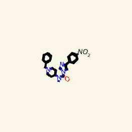 CN(C(=O)n1cnc(-c2ccc([N+](=O)[O-])cc2)c1)C1CCN(Cc2ccccc2)CC1